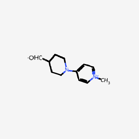 C[n+]1ccc(N2CCC([C]=O)CC2)cc1